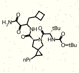 CCCC1C[C@]12C[C@@H](C(=O)NC(CC1CCC1)C(=O)C(N)=O)N(C(=O)[C@@H](NC(=O)OC(C)(C)C)C(C)(C)C)C2